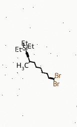 CC[Si](C#C[C@H](C)CCCCCC=C(Br)Br)(CC)CC